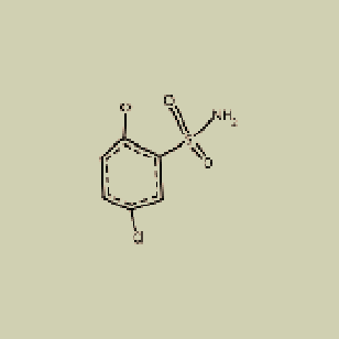 NS(=O)(=O)c1cc(Cl)ccc1[O]